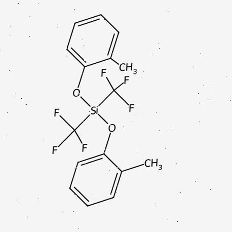 Cc1ccccc1O[Si](Oc1ccccc1C)(C(F)(F)F)C(F)(F)F